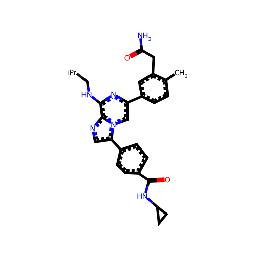 Cc1ccc(-c2cn3c(-c4ccc(C(=O)NC5CC5)cc4)cnc3c(NCC(C)C)n2)cc1CC(N)=O